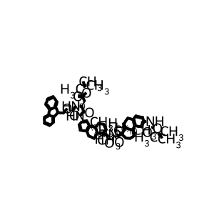 CC(C)(C)OC(=O)C[C@H](NC(=O)OCC1c2ccccc2-c2ccccc21)C(=O)Nc1ccc2c(c1)[C@@]1(C)CCC[C@](C)(C(=O)NC(=O)[C@@]3(C)CCC[C@]4(C)c5cc(NC(=O)OC(C)(C)C)ccc5CC[C@@H]34)[C@@H]1CC2